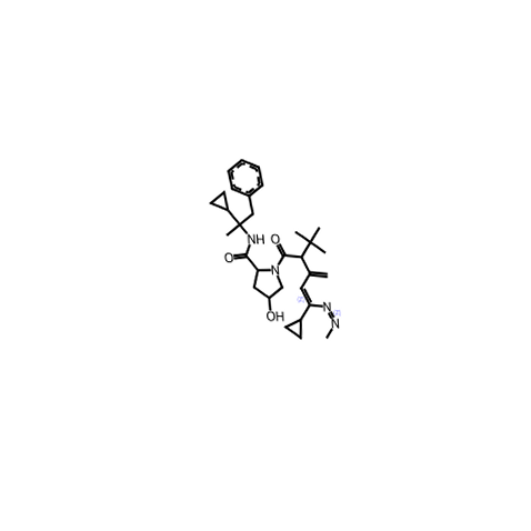 C=C(/C=C(\N=N/C)C1CC1)C(C(=O)N1CC(O)CC1C(=O)NC(C)(Cc1ccccc1)C1CC1)C(C)(C)C